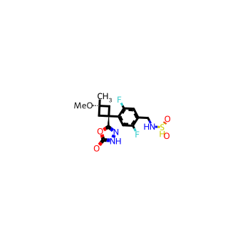 CO[C@]1(C)C[C@](c2n[nH]c(=O)o2)(c2cc(F)c(CN[SH](=O)=O)cc2F)C1